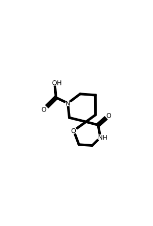 O=C(O)N1CCCC2(C1)OCCNC2=O